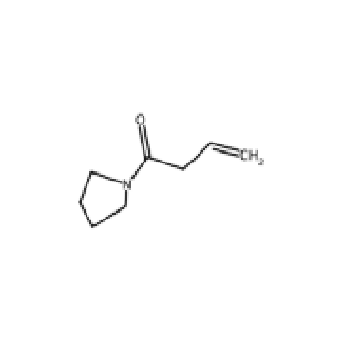 C=CCC(=O)N1CCCC1